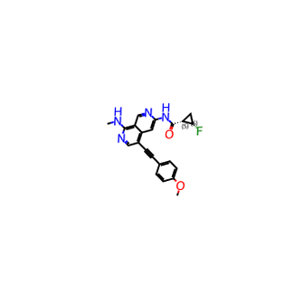 CNc1ncc(C#Cc2ccc(OC)cc2)c2cc(NC(=O)[C@@H]3C[C@@H]3F)ncc12